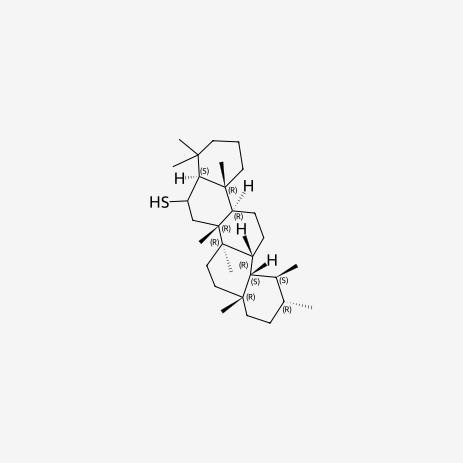 C[C@@H]1[C@H]2[C@H]3CC[C@@H]4[C@@]5(C)CCCC(C)(C)[C@@H]5C(S)C[C@@]4(C)[C@]3(C)CC[C@@]2(C)CC[C@H]1C